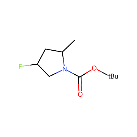 CC1CC(F)CN1C(=O)OC(C)(C)C